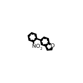 O=[N+]([O-])c1ccccc1-c1ccc2occc2c1